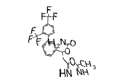 CC(=N)OC(=N)CC(OC(N)=O)c1cccc(-c2ccc(C(F)(F)F)cc2C(F)(F)F)c1